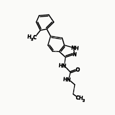 CCCNC(=O)Nc1n[nH]c2cc(-c3ccccc3C)ccc12